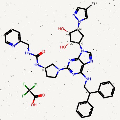 CCc1cnn([C@H]2C[C@@H](n3cnc4c(NCC(c5ccccc5)c5ccccc5)nc(N5CC[C@@H](NC(=O)NCc6ccccn6)C5)nc43)[C@H](O)[C@@H]2O)c1.O=C(O)C(F)(F)F